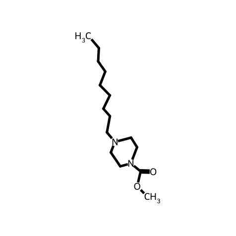 CCCCCCCCCN1CCN(C(=O)OC)CC1